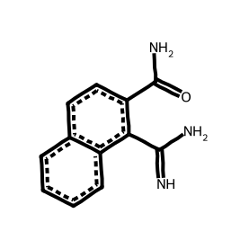 N=C(N)c1c(C(N)=O)ccc2ccccc12